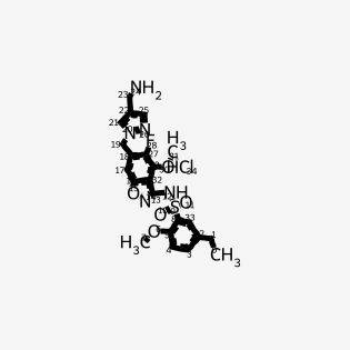 CCc1ccc(OC)c(S(=O)(=O)Nc2noc3cc(Cn4cc(CN)cn4)c(F)c(OC)c23)c1.Cl